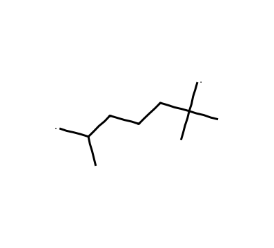 [CH2]C(C)CCCC([CH2])(C)C